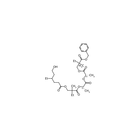 CCC(CCO)CCC(=O)OCC(C)(CC)C(=O)O[C@@H](C)C(=O)O[C@@H](C)C(=O)OCC(C)(CC)C(=O)OCc1ccccc1